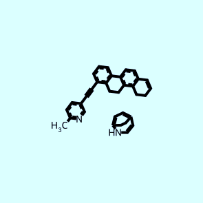 C1=CC2=CC=C(CC2)N1.Cc1ccc(C#Cc2cccc3c2CCc2c-3ccc3c2CCC=C3)cn1